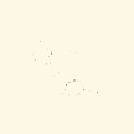 CC1=CCC([Si](C)(C)C2=CC(C(C)C)=CC2C(C)C)=C1CC(C)(C)C